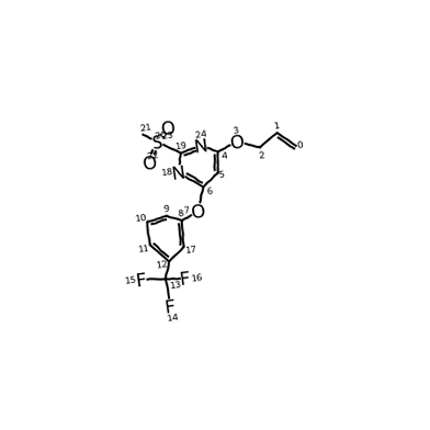 C=CCOc1cc(Oc2cccc(C(F)(F)F)c2)nc(S(C)(=O)=O)n1